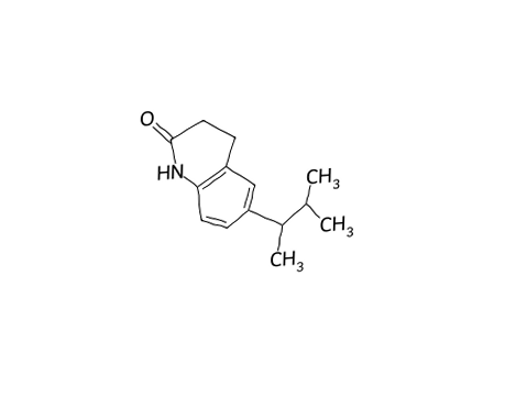 CC(C)C(C)c1ccc2c(c1)CCC(=O)N2